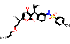 CCC(CCOCCOC)c1cc(O)c(C(c2cccc(NS(=O)(=O)c3ccc(C#N)cc3)c2)C2CC2)c(=O)o1